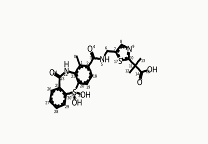 Cc1c(C(=O)NCc2cnc(C(C)(C)C(=O)O)s2)ccc2c1NC(=O)c1ccccc1S2(O)O